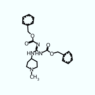 CN1CCC(N/C(=N\C(=O)OCc2ccccc2)NC(=O)OCc2ccccc2)CC1